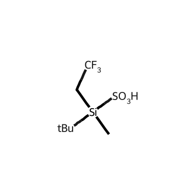 CC(C)(C)[Si](C)(CC(F)(F)F)S(=O)(=O)O